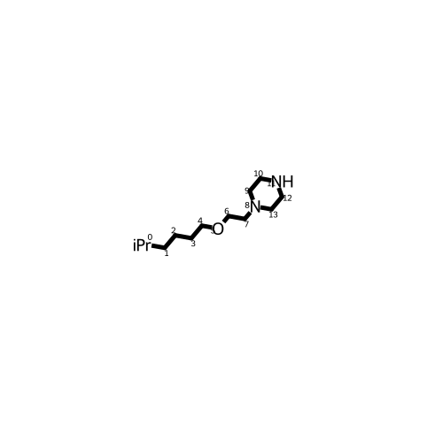 CC(C)CCCCOCCN1CCNCC1